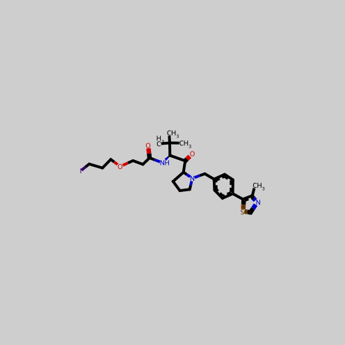 Cc1ncsc1-c1ccc(CN2CCCC2C(=O)[C@@H](NC(=O)CCOCCCI)C(C)(C)C)cc1